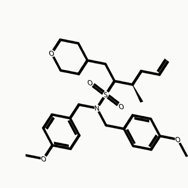 C=CC[C@@H](C)C(CC1CCOCC1)S(=O)(=O)N(Cc1ccc(OC)cc1)Cc1ccc(OC)cc1